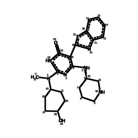 CN(c1nc(N[C@@H]2CCCNC2)c(-c2nc3ccccc3s2)c(=O)[nH]1)C1CCC(O)CC1